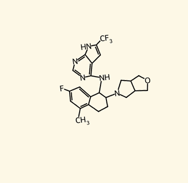 Cc1cc(F)cc2c1CCC(N1CC3COCC3C1)C2Nc1ncnc2[nH]c(C(F)(F)F)cc12